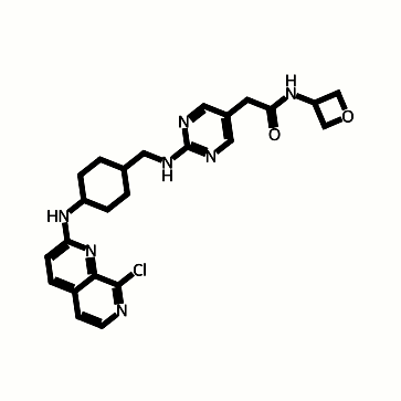 O=C(Cc1cnc(NCC2CCC(Nc3ccc4ccnc(Cl)c4n3)CC2)nc1)NC1COC1